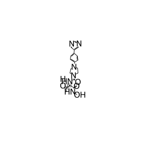 C[C@@H](O)[C@H](NC(=O)N1CCN(c2ccc(-c3cncnc3)cc2)CC1)C(=O)NO